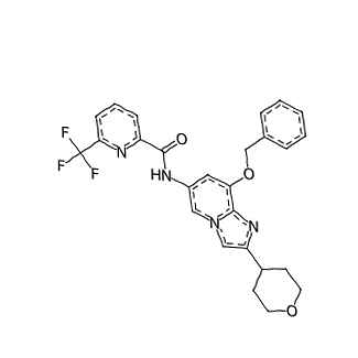 O=C(Nc1cc(OCc2ccccc2)c2nc(C3CCOCC3)cn2c1)c1cccc(C(F)(F)F)n1